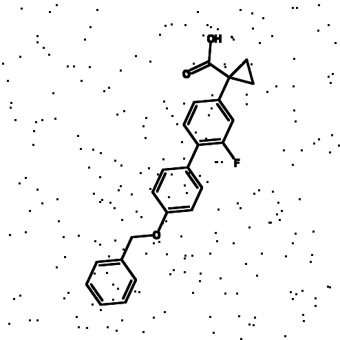 O=C(O)C1(c2ccc(-c3ccc(OCc4ccccc4)cc3)c(F)c2)CC1